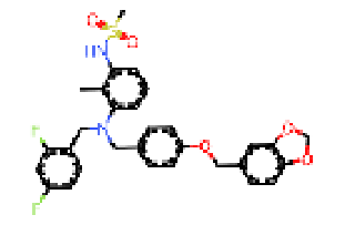 Cc1c(NS(C)(=O)=O)cccc1N(Cc1ccc(OCc2ccc3c(c2)OCO3)cc1)Cc1ccc(F)cc1F